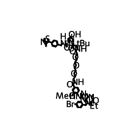 CC[C@@H]1C(=O)N(C)c2cnc(Nc3ccc(C(=O)NCCOCCOCCOCC(=O)N[C@H](C(=O)N4C[C@H](O)C[C@H]4C(=O)NCc4ccc(-c5scnc5C)cc4)C(C)(C)C)cc3OC)nc2N1Cc1ccc(Br)cc1